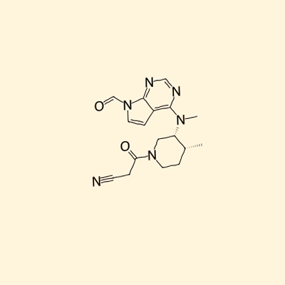 C[C@@H]1CCN(C(=O)CC#N)C[C@@H]1N(C)c1ncnc2c1ccn2C=O